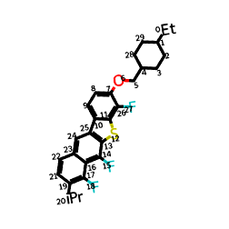 CCC1CCC(COc2ccc3c(sc4c(F)c5c(F)c(C(C)C)ccc5cc43)c2F)CC1